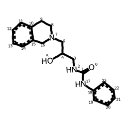 O=C(NCC(O)CN1CCc2ccccc2C1)Nc1ccccc1